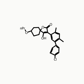 CCCOC1CCC2(CC1)OC(=O)C(c1cc(-c3ccc(Cl)cc3)c(C)cc1C)=C2O